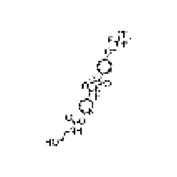 O=C(NCCO)Oc1ccc(C(=O)NS(=O)(=O)c2ccc(OCC(F)(F)C(F)(F)F)cc2)cn1